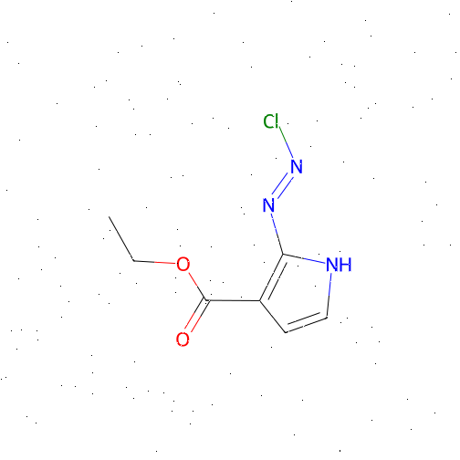 CCOC(=O)c1cc[nH]c1/N=N/Cl